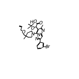 C=CCOCC1(C)CCN(c2c(C(OC(C)(C)C)C(=O)O)c(C)nc3cc(-c4cccc(Br)c4)nn23)CC1